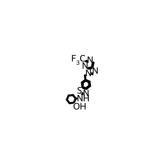 OC1CCCCC1Nc1nc2ccc(Cn3cnc4cnc(C(F)(F)F)nc43)cc2s1